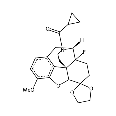 COc1ccc2c3c1OC1C4(CCC5(F)[C@@H](C2)N(C(=O)C2CC2)CC[C@]315)OCCO4